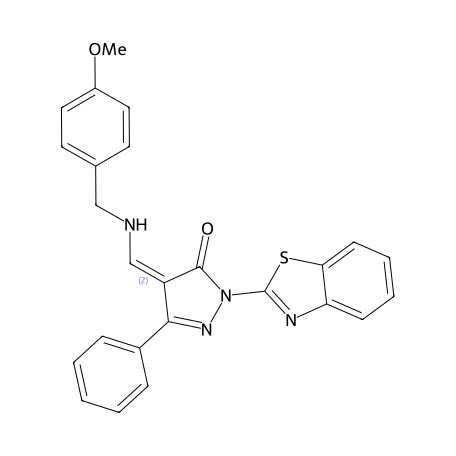 COc1ccc(CN/C=C2\C(=O)N(c3nc4ccccc4s3)N=C2c2ccccc2)cc1